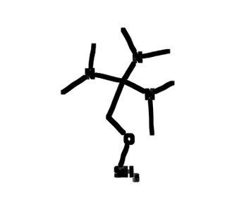 CN(C)C(CO[SiH3])(N(C)C)N(C)C